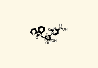 O=C(OC[C@H]1O[C@@H](n2ccc(NO)nc2=O)[C@H](O)[C@@H]1O)[C@]1(c2ccccc2)CCCO1